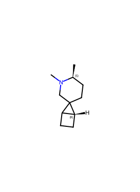 C[C@H]1CCC2(CN1C)C1CC[C@H]12